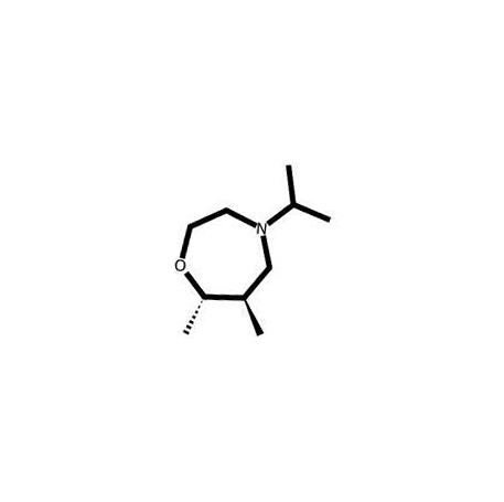 CC(C)N1CCO[C@@H](C)[C@H](C)C1